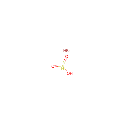 Br.O=[SH](=O)O